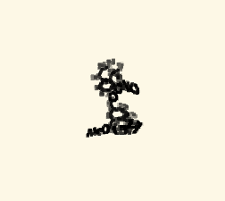 COC(c1cc(COc2ccc3c(c2)[C@@]2(CCC3)C[C@@H]2C(=O)N=O)ccc1Br)C(C)(C)C